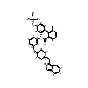 Cc1cccc(C(=O)Nc2cccc(OC3CCN(Cc4occ5ccccc45)CC3)c2)c1-c1ccc(OC(F)(F)F)cc1